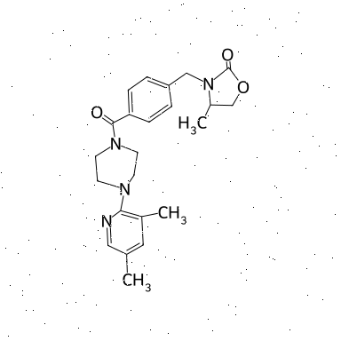 Cc1cnc(N2CCN(C(=O)c3ccc(CN4C(=O)OCC4C)cc3)CC2)c(C)c1